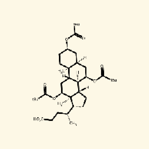 C[C@H](CCC(=O)O)[C@H]1CC[C@H]2[C@@H]3[C@H](OC(=O)C(C)(C)C)C[C@@H]4C[C@H](OC(=O)C(C)(C)C)CC[C@]4(C)[C@H]3C[C@H](OC(=O)C(C)(C)C)[C@]12C